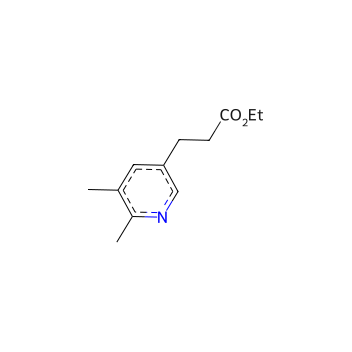 CCOC(=O)CCc1cnc(C)c(C)c1